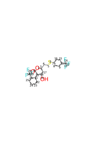 O=c1oc(CCSc2ccc(C(F)(F)F)cc2)cc(O)c1-c1ccccc1C(F)(F)F